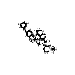 [2H]C([2H])([2H])N1CCC[C@@H](NC(=O)c2sc3nccc4c3c2NC(=O)N4c2ccc(Oc3ccccc3)cc2C)C1